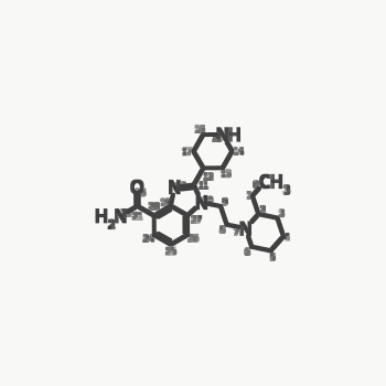 CCC1CCCCN1CCn1c(C2CCNCC2)nc2c(C(N)=O)cccc21